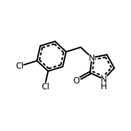 O=c1[nH]ccn1Cc1ccc(Cl)c(Cl)c1